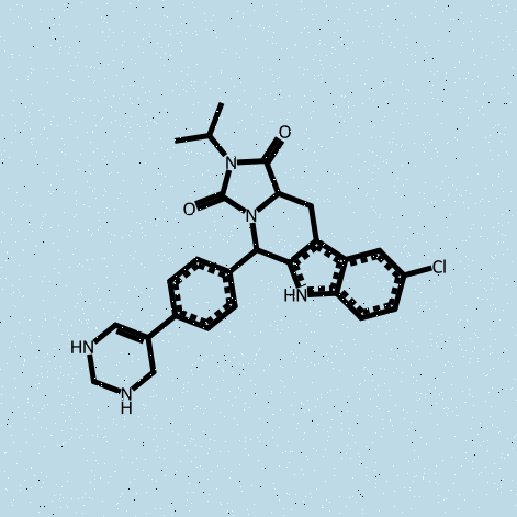 CC(C)N1C(=O)C2Cc3c([nH]c4ccc(Cl)cc34)C(c3ccc(C4=CNCNC4)cc3)N2C1=O